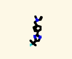 C=CN(C)CC12CCC(C3=NCC(C(C)(C)F)=N3)(CC1)C2